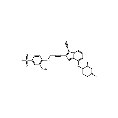 C#Cc1c(C#CCNc2ccc(S(C)(=O)=O)cc2OC)nc2c(N[C@@H]3CCN(C)C[C@@H]3F)cccn12